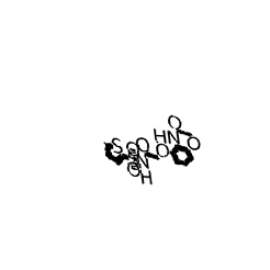 O=C1COc2cccc(OCC(=O)NS(=O)(=O)c3cccs3)c2N1